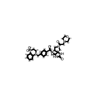 O=C1NC(=O)[C@@]2(CN(C(=O)CN3CCOCC3)C[C@H]2NC(=O)c2ccc(CN3CCS(=O)(=O)c4ccccc43)cc2)N1